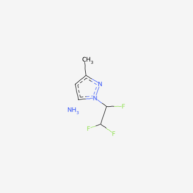 Cc1ccn(C(F)C(F)F)n1.N